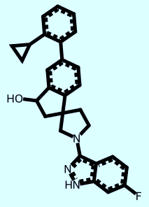 OC1CC2(CCN(c3n[nH]c4cc(F)ccc34)C2)c2ccc(-c3ccccc3C3CC3)cc21